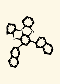 c1ccc2c(c1)Oc1c(-c3ccc4ccccc4c3)cc(-c3ccc4ccccc4c3)c3c1B2c1ccccc1O3